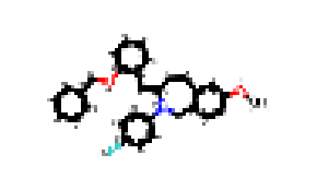 COc1ccc2c(c1)CCC(=Cc1ccccc1OCc1ccccc1)N(c1ccc(F)cc1)C2